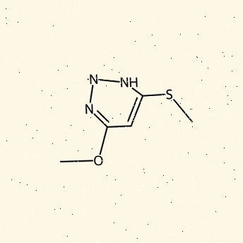 COC1=N[N]NC(SC)=C1